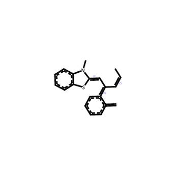 C=c1cccc/c1=C(/C=C\C)\C=C1/Sc2ccccc2N1C